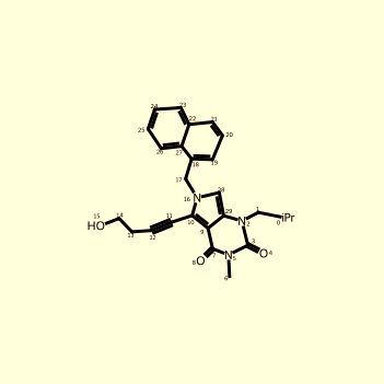 CC(C)Cn1c(=O)n(C)c(=O)c2c(C#CCCO)n(Cc3cccc4ccccc34)cc21